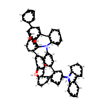 c1ccc(-c2cccc(-c3ccccc3N(c3ccc(-c4cccc(-n5c6ccccc6c6ccccc65)c4)cc3)c3ccccc3-c3ccc4c(c3)oc3ccccc34)c2)cc1